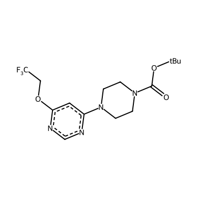 CC(C)(C)OC(=O)N1CCN(c2cc(OCC(F)(F)F)ncn2)CC1